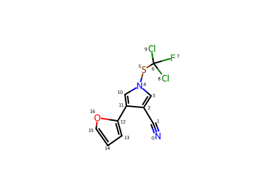 N#Cc1cn(SC(F)(Cl)Cl)cc1-c1ccco1